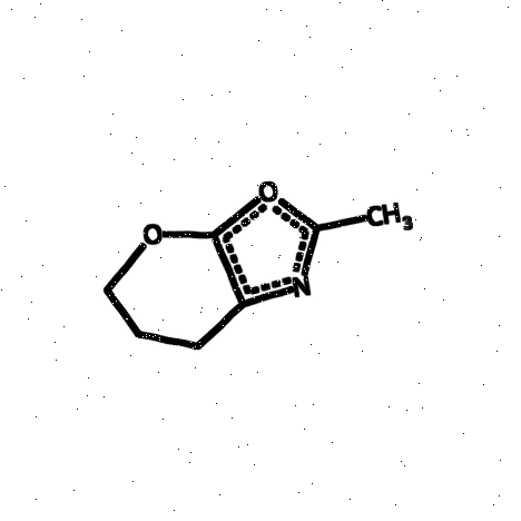 Cc1nc2c(o1)OCCC2